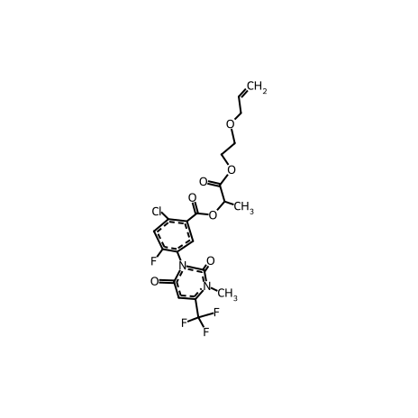 C=CCOCCOC(=O)C(C)OC(=O)c1cc(-n2c(=O)cc(C(F)(F)F)n(C)c2=O)c(F)cc1Cl